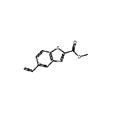 C=Cc1ccc2sc(C(=O)OC)cc2c1